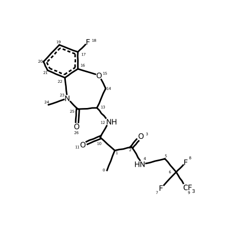 CC(C(=O)NCC(F)(F)C(F)(F)F)C(=O)NC1COc2c(F)cccc2N(C)C1=O